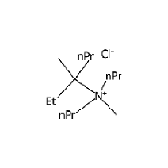 CCCC(C)(CC)[N+](C)(CCC)CCC.[Cl-]